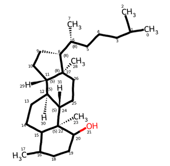 CC(C)CCC[C@@H](C)[C@H]1CC[C@H]2[C@@H]3CCC4C(C)CCC(O)[C@]4(C)[C@H]3CC[C@]12C